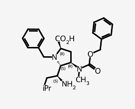 CC(C)C[C@H](N)[C@H]1[C@H](N(C)C(=O)OCc2ccccc2)C[C@H](C(=O)O)N1Cc1ccccc1